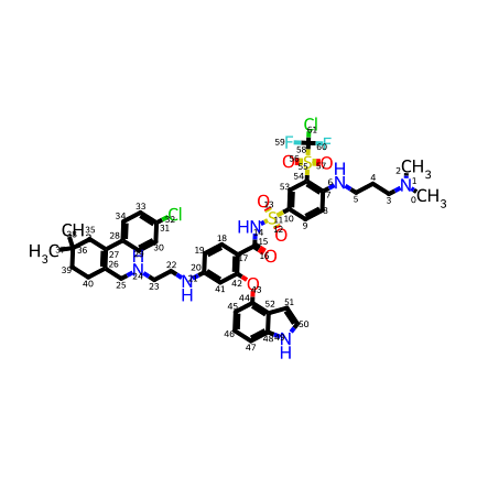 CN(C)CCCNc1ccc(S(=O)(=O)NC(=O)c2ccc(NCCNCC3=C(c4ccc(Cl)cc4)CC(C)(C)CC3)cc2Oc2cccc3[nH]ccc23)cc1S(=O)(=O)C(F)(F)Cl